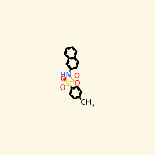 Cc1ccc(S(=O)(=O)S(=O)(=O)Nc2[c]c3ccccc3cc2)cc1